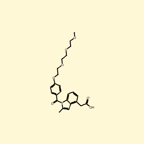 COCCOCCOCCOc1ccc(C(=O)n2c(C)cc3c(CC(=O)O)cccc32)cc1